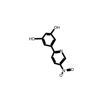 O=[N+]([O-])c1ccc(-c2cc(O)cc(O)c2)nc1